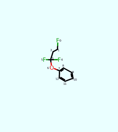 FCCC(F)(F)Oc1cc[c]cc1